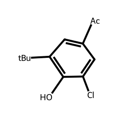 CC(=O)c1cc(Cl)c(O)c(C(C)(C)C)c1